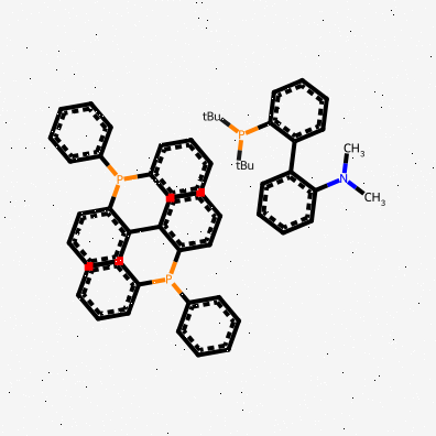 CN(C)c1ccccc1-c1ccccc1P(C(C)(C)C)C(C)(C)C.c1ccc(P(c2ccccc2)c2ccccc2-c2ccccc2P(c2ccccc2)c2ccccc2)cc1